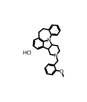 COc1ccccc1CN1CCC2C(C1)c1cccc3c1N2c1ccccc1CC3.Cl